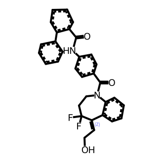 O=C(Nc1ccc(C(=O)N2CCC(F)(F)/C(=C\CO)c3ccccc32)cc1)c1ccccc1-c1ccccc1